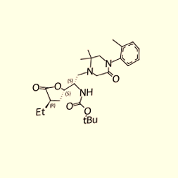 CC[C@@H]1C[C@@H]([C@H](CN2CC(=O)N(c3ccccc3C)CC2(C)C)NC(=O)OC(C)(C)C)OC1=O